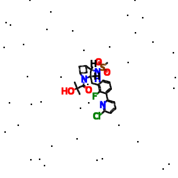 CC(C)(O)C(=O)N1C2CC(C2)[C@H](NS(C)(=O)=O)[C@@H]1Cc1cccc(-c2cccc(Cl)n2)c1F